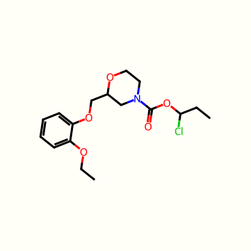 CCOc1ccccc1OCC1CN(C(=O)OC(Cl)CC)CCO1